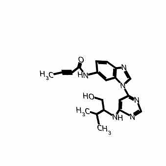 CC#CC(=O)Nc1ccc2ncn(-c3cc(NC(CO)C(C)C)ncn3)c2c1